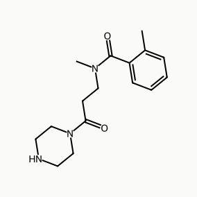 Cc1ccccc1C(=O)N(C)CCC(=O)N1CCNCC1